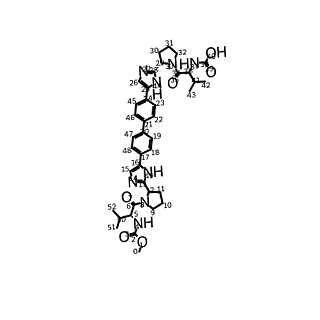 COC(=O)N[C@@H](C(=O)N1CCCC1c1ncc(-c2ccc(-c3ccc(-c4cnc([C@@H]5CCCN5C(=O)[C@@H](NC(=O)O)C(C)C)[nH]4)cc3)cc2)[nH]1)C(C)C